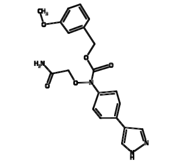 COc1cccc(COC(=O)N(OCC(N)=O)c2ccc(-c3cn[nH]c3)cc2)c1